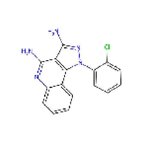 Nc1nc2ccccc2c2c1c(N)nn2-c1ccccc1Cl